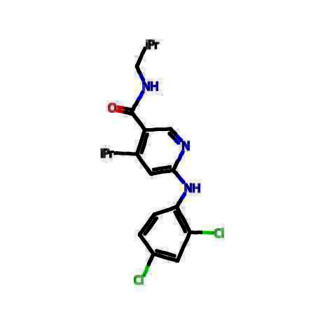 CC(C)CNC(=O)c1cnc(Nc2ccc(Cl)cc2Cl)cc1C(C)C